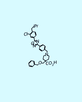 CC(C)Cc1ccc(-c2nc(-c3ccc(CN4CCC(COCc5ccccc5)(C(=O)O)CC4)cc3)no2)cc1Cl